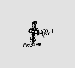 COC(CN(C)S(=O)(=O)NC(=O)c1ccc2c(C3CCCCC3)c3n(c2c1)C[C@@H](N(C)CCC(NC(=O)O)C(C)(C)C)COc1cc(OCc2ccccn2)ccc1-3)OC